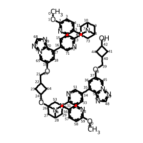 COc1ccc(CN2C3CC2CN(c2ccc(-c4cc(OCC5CC(OC67CC(CN(c8ccc(-c9cc(OCC%10CC(O)C%10)cn%10ncnc9%10)cn8)C6)N7Cc6ccc(OC)nc6)C5)cn5ncnc45)cn2)C3)cn1